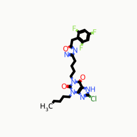 CCCCCn1c(=O)n(CCCCc2noc(Cc3c(F)cc(F)cc3F)n2)c(=O)c2[nH]c(Cl)nc21